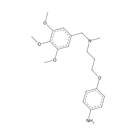 COc1cc(CN(C)CCCOc2ccc(N)cc2)cc(OC)c1OC